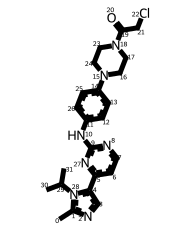 Cc1ncc(-c2ccnc(Nc3ccc(N4CCN(C(=O)CCl)CC4)cc3)n2)n1C(C)C